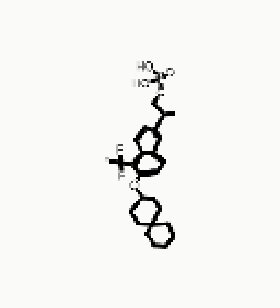 C[C](COP(=O)(O)O)c1ccc2c(C(F)(F)F)c(OC3CCC4(CCCCC4)CC3)ccc2c1